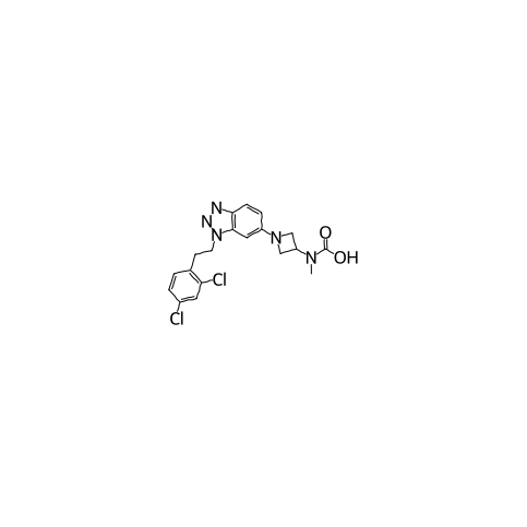 CN(C(=O)O)C1CN(c2ccc3nnn(CCc4ccc(Cl)cc4Cl)c3c2)C1